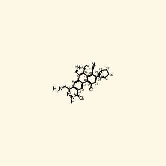 Cn1ncc2c3cc4c(CN)n[nH]c(=O)c4cc3c3c(Cl)cc(N4C5CCC4CC5)c(C#N)c3c21